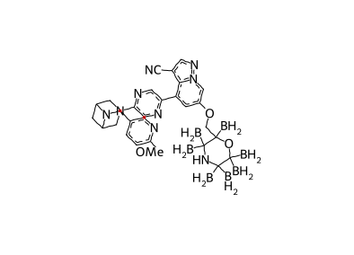 BC1(B)NC(B)(B)C(B)(COc2cc(-c3cnc(N4CC5CC(C4)N5Cc4ccc(OC)nc4)cn3)c3c(C#N)cnn3c2)OC1(B)B